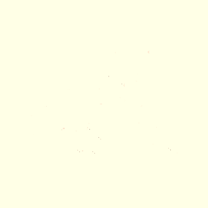 CC(C)[C@@H](C(=O)O)N(Cc1ccc(-c2ccccc2-c2nnn[nH]2)cc1)C(=O)CCCCN